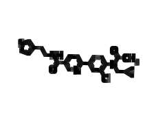 CC(=O)N(CC1CC1)c1ccc(-c2ccc(C(=O)NCCc3ccsc3)cn2)cc1Cl